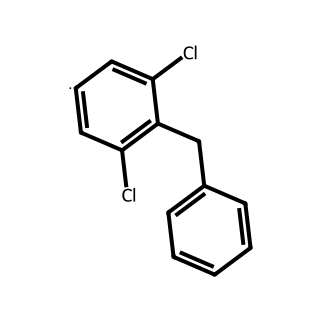 Clc1c[c]cc(Cl)c1Cc1ccccc1